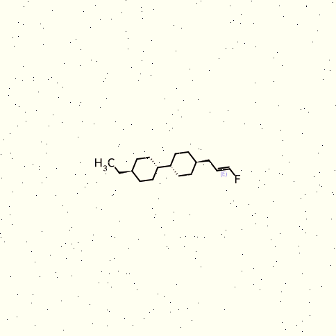 CC[C@H]1CC[C@H]([C@H]2CC[C@H](C/C=C/F)CC2)CC1